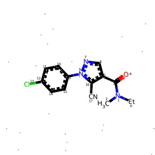 CCN(C)C(=O)c1cnn(-c2ccc(Cl)cc2)c1C#N